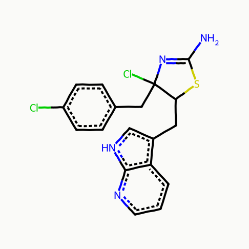 NC1=NC(Cl)(Cc2ccc(Cl)cc2)C(Cc2c[nH]c3ncccc23)S1